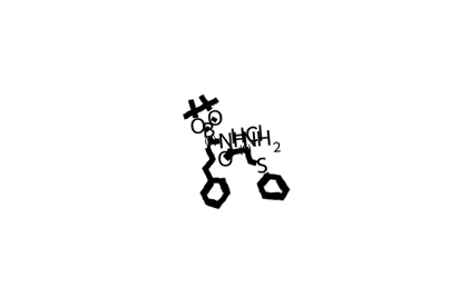 CC1(C)OB([C@H](CCCc2ccccc2)NC(=O)[C@H](N)CSc2ccccc2)OC1(C)C.Cl